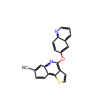 N#Cc1ccc2c(c1)nc(Oc1ccc3ncccc3c1)c1ccsc12